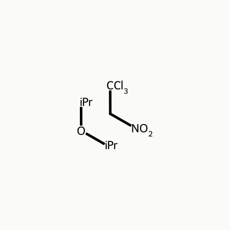 CC(C)OC(C)C.O=[N+]([O-])CC(Cl)(Cl)Cl